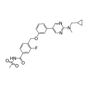 CN(CC1CC1)c1ncc(-c2cccc(OCc3ccc(C(=O)NS(C)(=O)=O)cc3F)c2)cn1